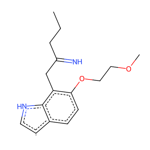 CCCC(=N)Cc1c(OCCOC)ccc2[c]c[nH]c12